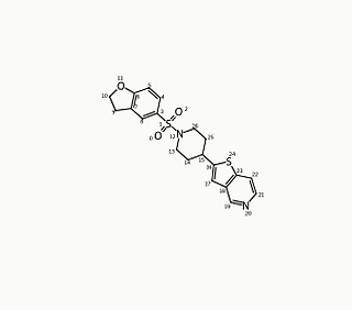 O=S(=O)(c1ccc2c(c1)CCO2)N1CCC(c2cc3cnccc3s2)CC1